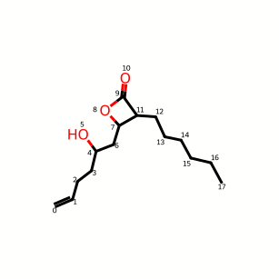 C=CCCC(O)CC1OC(=O)C1CCCCCC